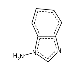 Nn1cnc2ccc[c]c21